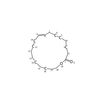 O=C1CCCCCC/C=C/CCCCCCCCCO1